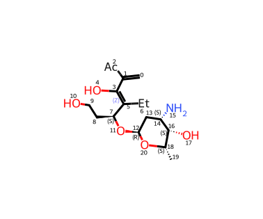 C=C(C(C)=O)/C(O)=C(\CC)[C@H](CCO)O[C@H]1C[C@H](N)[C@H](O)[C@H](C)O1